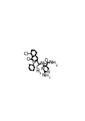 CC(Nc1nc(N)ncc1C(N)=O)c1cc2cccc(Cl)c2c(=O)n1-c1ccccc1